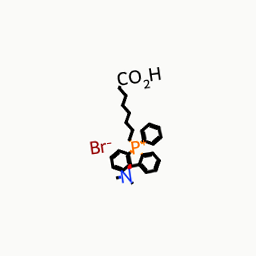 CN(C)Cc1ccccc1[P+](CCCCCCCC(=O)O)(c1ccccc1)c1ccccc1.[Br-]